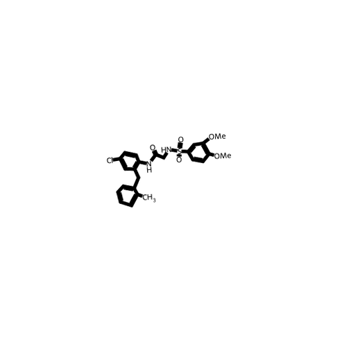 COc1ccc(S(=O)(=O)NCC(=O)Nc2ccc(Cl)cc2Cc2ccccc2C)cc1OC